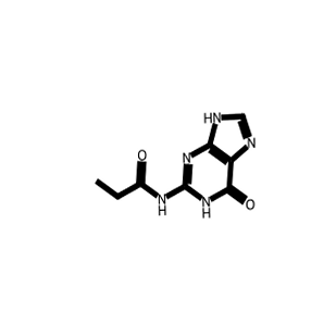 CCC(=O)Nc1nc2[nH]cnc2c(=O)[nH]1